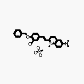 CN(C)c1ccc2c(ccc(/C=C/c3ccc(OCc4ccccc4)c(Cl)c3)[n+]2C)c1.CS(=O)(=O)[O-]